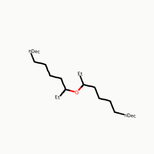 CCCCCCCCCCCCCCC(CC)OC(CC)CCCCCCCCCCCCCC